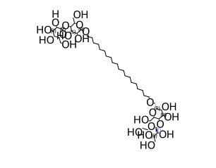 OCCO/C(OC1C(CO)O[C@H](COCCCCCCCCCCCCCCCCCCCCO[C@@H]2OC(CO)C(O[C@H]3OC(CO)C(O)[C@@H](O)C3O)[C@@H](O)C2O)C(O)[C@H]1O)=C(/O)[C@@H](O)CO